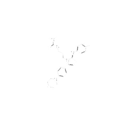 CN(C)C(=O)NCCCn1c(-c2ccc(N3CCOCC3)cc2)csc1=Nc1ccc(F)cc1